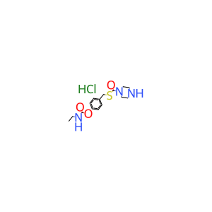 CCNC(=O)Oc1ccc(CSC(=O)N2CCNCC2)cc1.Cl